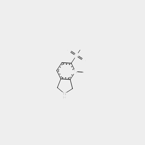 CS(=O)(=O)c1ccc2c([n+]1[O-])CNC2